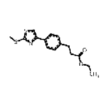 [C]Sc1nc(-c2ccc(CCC(=O)OCC)cc2)cs1